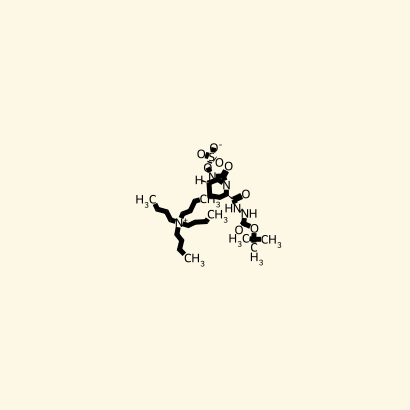 CC(C)(C)OC(=O)NNC(=O)[C@@H]1CC[C@@H]2CN1C(=O)N2OS(=O)(=O)[O-].CCCC[N+](CCCC)(CCCC)CCCC